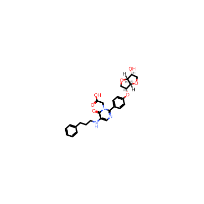 O=C(O)Cn1c(-c2ccc(O[C@@H]3CO[C@H]4[C@@H]3OC[C@H]4O)cc2)ncc(NCCCc2ccccc2)c1=O